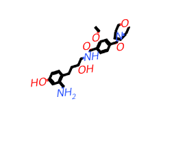 CCOc1cc(C(=O)N2C3CCC2COC3)ccc1C(=O)NC[C@@H](O)CCc1ccc(O)cc1CN